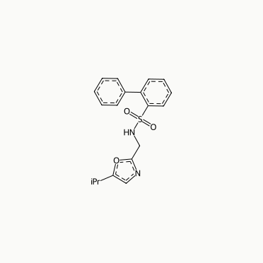 CC(C)c1cnc(CNS(=O)(=O)c2ccccc2-c2ccccc2)o1